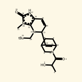 CC(O)C(=O)N1CC2CCC1C=C2C1C=Cc2[nH]c(=O)n(C)c2N1CC(C)(C)C